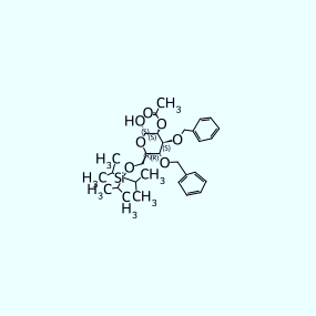 CC(=O)O[C@H]1[C@@H](OCc2ccccc2)[C@H](OCc2ccccc2)[C@@H](CO[Si](C(C)C)(C(C)C)C(C)C)O[C@@H]1O